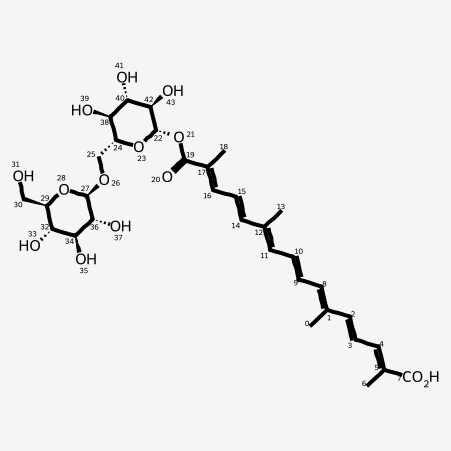 CC(/C=C/C=C(\C)C(=O)O)=C\C=C\C=C(C)\C=C\C=C(/C)C(=O)O[C@@H]1O[C@H](CO[C@@H]2O[C@H](CO)[C@@H](O)[C@H](O)[C@H]2O)[C@@H](O)[C@H](O)[C@H]1O